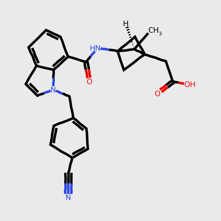 C[C@H]1C2(CC(=O)O)CC1(NC(=O)c1cccc3ccn(Cc4ccc(C#N)cc4)c13)C2